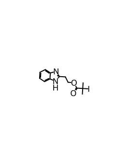 CC(C)(I)C(=O)OCCc1nc2ccccc2[nH]1